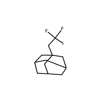 FC(F)(I)CC12CC3CC(CC(C3)C1)C2